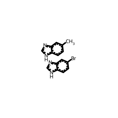 Brc1ccc2[nH]cnc2c1.Cc1ccc2[nH]cnc2c1